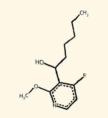 CCCCCC(O)c1c(F)ccnc1OC